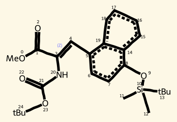 COC(=O)/C(=C/c1ccc(O[Si](C)(C)C(C)(C)C)c2ccccc12)NC(=O)OC(C)(C)C